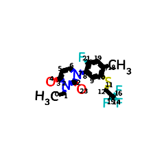 CCn1c(=O)ccn(-c2cc(SCC(F)(F)F)c(C)cc2F)c1=O